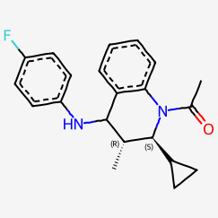 CC(=O)N1c2ccccc2C(Nc2ccc(F)cc2)[C@@H](C)[C@@H]1C1CC1